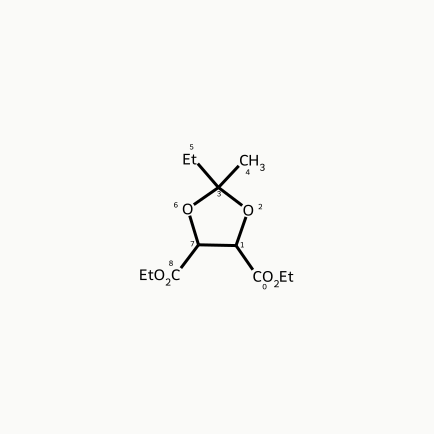 CCOC(=O)C1OC(C)(CC)OC1C(=O)OCC